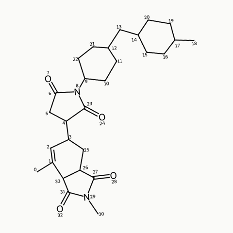 CC1=CC(C2CC(=O)N(C3CCC(CC4CCC(C)CC4)CC3)C2=O)CC2C(=O)N(C)C(=O)C12